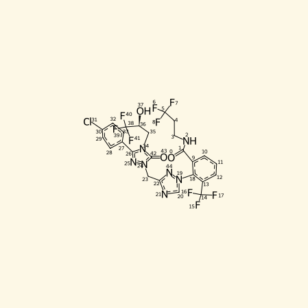 O=C(NCCC(F)(F)F)c1cccc(C(F)(F)F)c1-n1cnc(Cn2nc(-c3ccc(Cl)cc3)n(C[C@H](O)C(F)(F)F)c2=O)n1